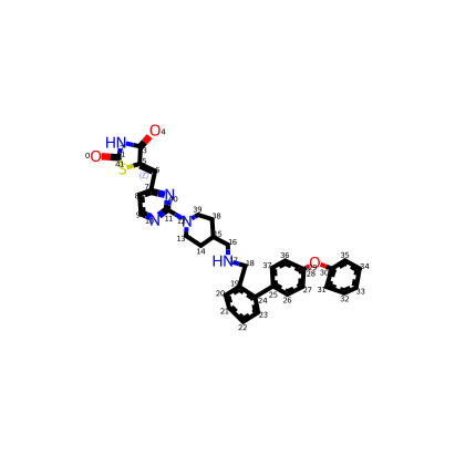 O=C1NC(=O)/C(=C/c2ccnc(N3CCC(CNCc4ccccc4-c4ccc(Oc5ccccc5)cc4)CC3)n2)S1